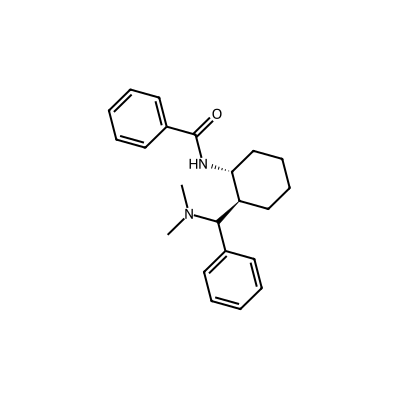 CN(C)C(c1ccccc1)[C@@H]1CCCC[C@H]1NC(=O)c1ccccc1